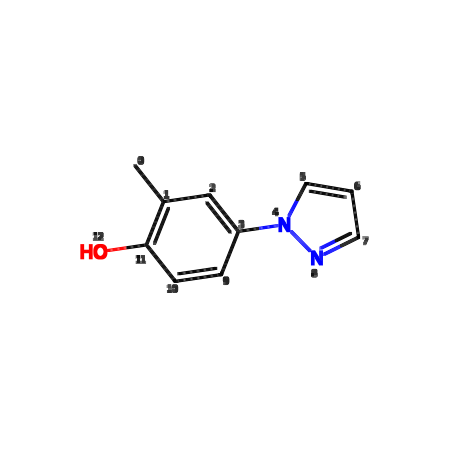 Cc1cc(-n2cccn2)ccc1O